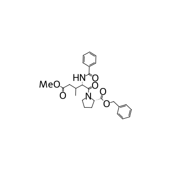 COC(=O)CC(C)[C@H](NC(=O)c1ccccc1)C(=O)N1CCC[C@H]1C(=O)OCc1ccccc1